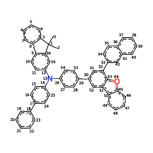 CC1(C)c2ccccc2-c2ccc(N(c3ccc(-c4ccccc4)cc3)c3ccc(-c4cc(-c5ccc6ccccc6c5)c5oc6ccccc6c5c4)cc3)cc21